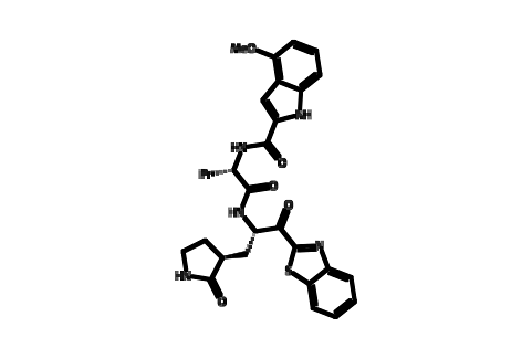 COc1cccc2[nH]c(C(=O)N[C@H](C(=O)N[C@@H](C[C@@H]3CCNC3=O)C(=O)c3nc4ccccc4s3)C(C)C)cc12